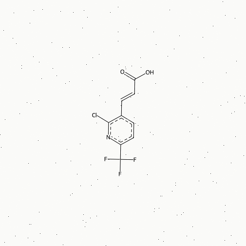 O=C(O)C=Cc1ccc(C(F)(F)F)nc1Cl